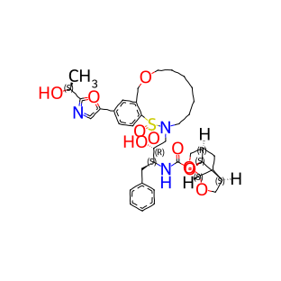 C[C@H](O)c1ncc(-c2ccc3c(c2)COCCCCCCCN(C[C@@H](O)[C@H](Cc2ccccc2)NC(=O)O[C@H]2[C@H]4CO[C@H]5OC[C@@H]2C5C4)S3(=O)=O)o1